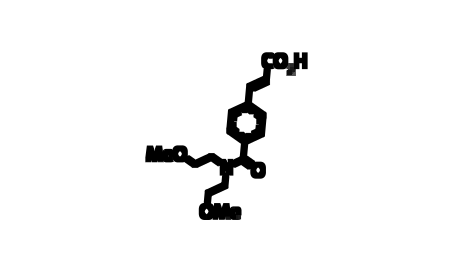 COCCN(CCOC)C(=O)c1ccc(/C=C/C(=O)O)cc1